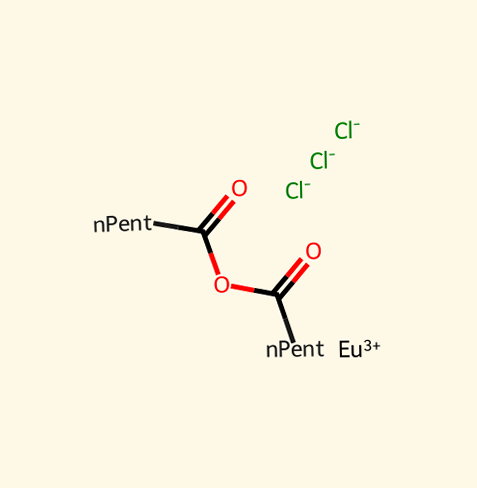 CCCCCC(=O)OC(=O)CCCCC.[Cl-].[Cl-].[Cl-].[Eu+3]